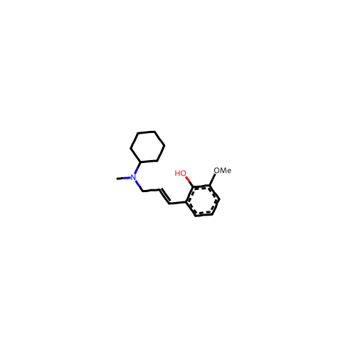 COc1cccc(C=CCN(C)C2CCCCC2)c1O